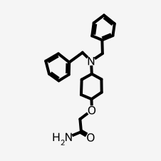 NC(=O)COC1CCC(N(Cc2ccccc2)Cc2ccccc2)CC1